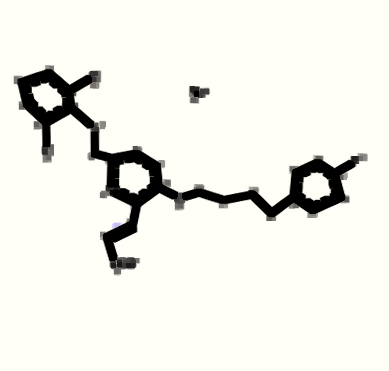 O=C([O-])/C=C/c1nc(CSc2c(Cl)cccc2Cl)ccc1OCCCCc1ccc(F)cc1.[Na+]